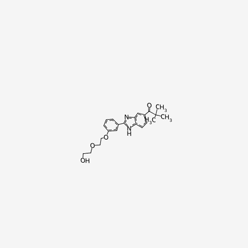 CC(C)(C)C(=O)c1ccc2[nH]c(-c3cccc(OCCOCCO)c3)nc2c1